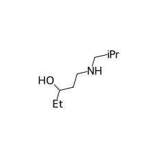 CCC(O)CCNCC(C)C